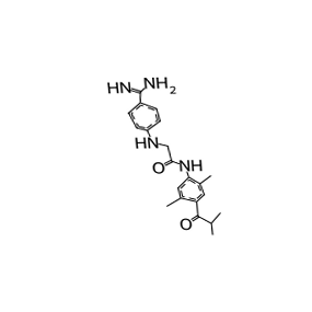 Cc1cc(C(=O)C(C)C)c(C)cc1NC(=O)CNc1ccc(C(=N)N)cc1